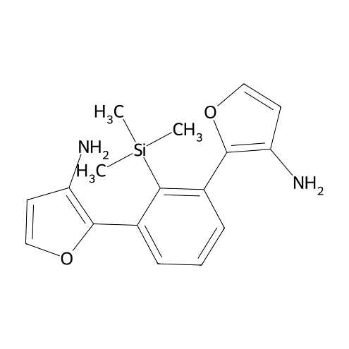 C[Si](C)(C)c1c(-c2occc2N)cccc1-c1occc1N